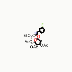 CCOC(=O)/C(=C/c1cccc(F)c1)O[C@H]1O[C@@H](COC(C)=O)[C@@H](OC(C)=O)[C@@H](OC(C)=O)[C@@H]1C